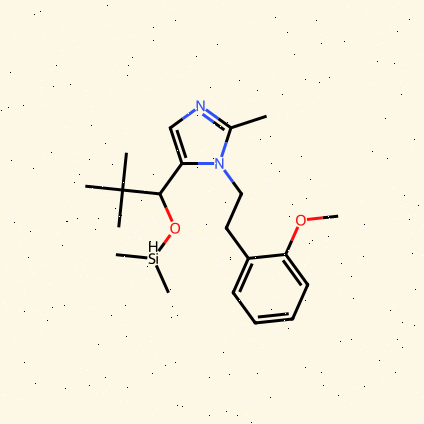 COc1ccccc1CCn1c(C(O[SiH](C)C)C(C)(C)C)cnc1C